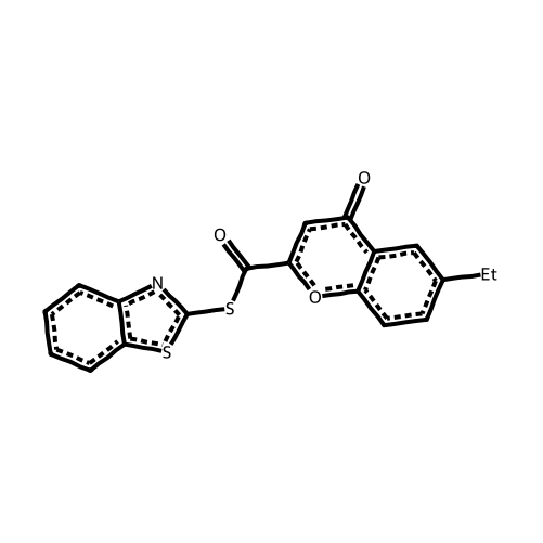 CCc1ccc2oc(C(=O)Sc3nc4ccccc4s3)cc(=O)c2c1